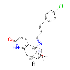 C/C=C1\[C@H]2C=C(C)C[C@]1(N=CC=Cc1ccc(Cl)cc1)c1ccc(=O)[nH]c1C2